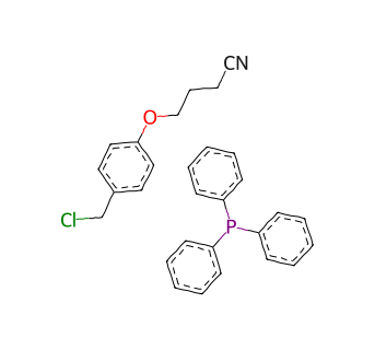 N#CCCCOc1ccc(CCl)cc1.c1ccc(P(c2ccccc2)c2ccccc2)cc1